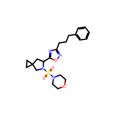 O=S(=O)(N1CCOCC1)N1CC2(CC2)CC1c1nc(CCCc2ccccc2)no1